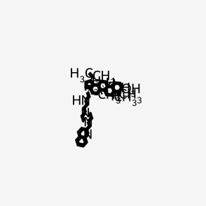 C=C(C)[C@@H]1CC[C@]2(CCNCCN3CCN(Cc4ccc5ccccc5n4)CC3)CC[C@]3(C)[C@H](CC[C@@H]4[C@@]5(C)CC[C@H](O)C(C)(C)[C@@H]5CC[C@]43C)[C@@H]12